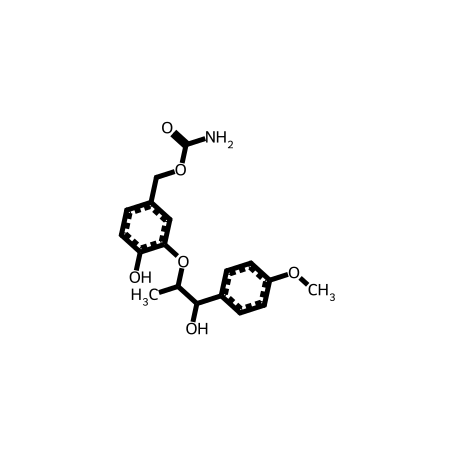 COc1ccc(C(O)C(C)Oc2cc(COC(N)=O)ccc2O)cc1